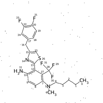 CCCCCN(C)c1ccc(N)c(-c2nc(Cc3ccc(F)c(F)c3)cs2)c1C(F)(F)F